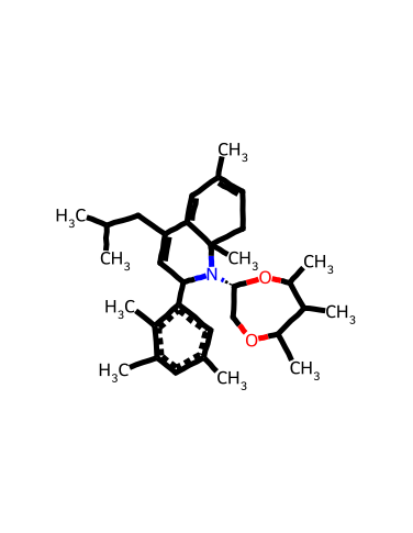 CC1=CCC2(C)C(=C1)C(CC(C)C)=CC(c1cc(C)cc(C)c1C)N2[C@H]1COC(C)C(C)C(C)O1